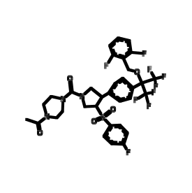 CC(=O)N1CCN(C(=O)N2CC(c3ccc(C(OCc4c(F)cccc4F)(C(F)(F)F)C(F)(F)F)cc3)C(S(=O)(=O)c3ccc(F)cc3)C2)CC1